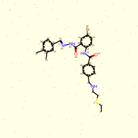 CCSCCNCc1ccc(C(=O)Nc2ccc(Br)cc2C(=O)N/N=C/c2ccc(C)c(C)c2)cc1